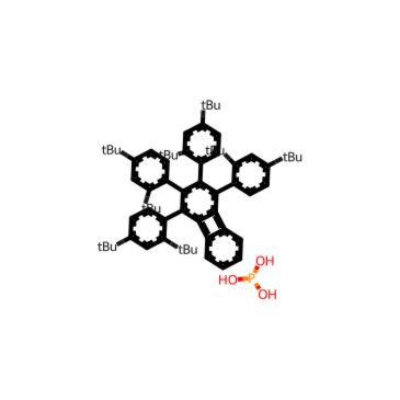 CC(C)(C)c1ccc(-c2c(-c3ccc(C(C)(C)C)cc3C(C)(C)C)c(-c3ccc(C(C)(C)C)cc3C(C)(C)C)c3c(c2-c2ccc(C(C)(C)C)cc2C(C)(C)C)=c2ccccc2=3)c(C(C)(C)C)c1.OP(O)O